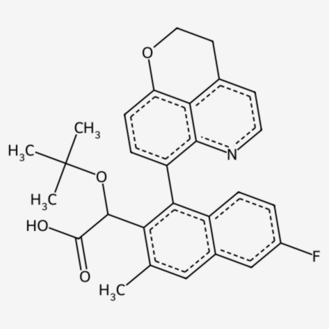 Cc1cc2cc(F)ccc2c(-c2ccc3c4c(ccnc24)CCO3)c1C(OC(C)(C)C)C(=O)O